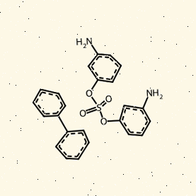 Nc1cccc(OS(=O)(=O)Oc2cccc(N)c2)c1.c1ccc(-c2ccccc2)cc1